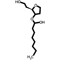 CCCCCCCC(O)OC1CCO[C@@H]1CCO